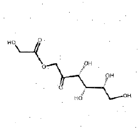 O=C(CO)OCC(=O)[C@H](O)[C@@H](O)[C@H](O)CO